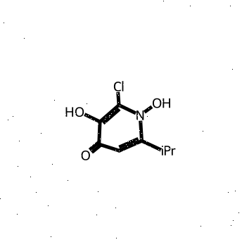 CC(C)c1cc(=O)c(O)c(Cl)n1O